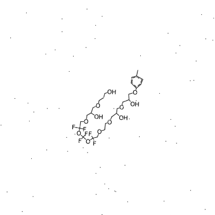 Cc1ccc(OCC(O)COCC(O)COCCOCC(F)(F)OC(F)(F)OC(F)(F)COCC(O)COCCCO)cc1